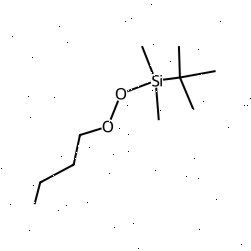 CCCCOO[Si](C)(C)C(C)(C)C